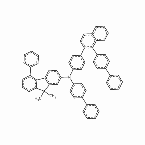 CC1(C)c2cc(N(c3ccc(-c4ccccc4)cc3)c3ccc(-c4ccc5ccccc5c4-c4ccc(-c5ccccc5)cc4)cc3)ccc2-c2c(-c3ccccc3)cccc21